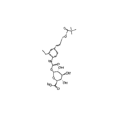 CCc1cc(/C=C/COC(=O)C(C)(C)C)ccc1NC(=O)O[C@@H]1O[C@H](C(=O)O)[C@@H](O)[C@H](O)[C@H]1O